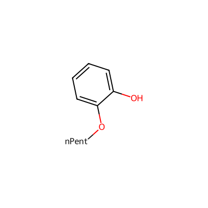 CCCCCOc1ccccc1O